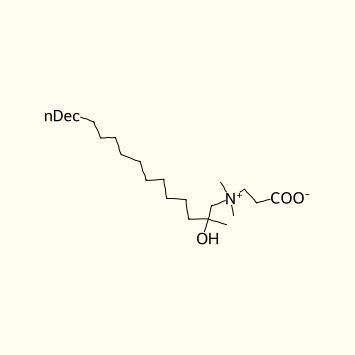 CCCCCCCCCCCCCCCCCCCCC(C)(O)C[N+](C)(C)CCC(=O)[O-]